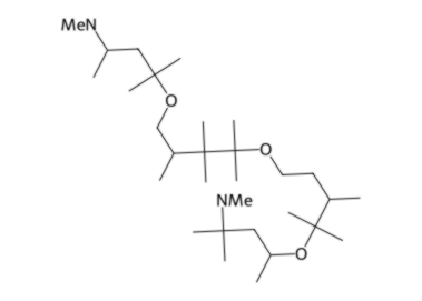 CNC(C)CC(C)(C)OCC(C)C(C)(C)C(C)(C)OCCC(C)C(C)(C)OC(C)CC(C)(C)NC